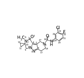 CN1C(=O)c2c3c(nn2CC12CC2)CCN(C(=O)Nc1ccc(F)c(Cl)c1)C3